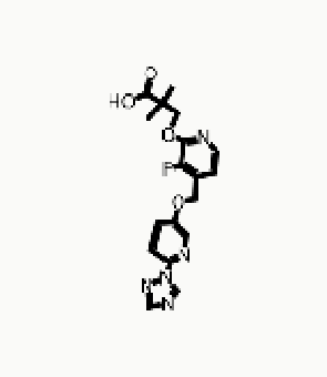 CC(C)(COc1nccc(COc2ccc(-n3cncn3)nc2)c1F)C(=O)O